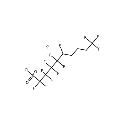 O=S(=O)([O-])C(F)(F)C(F)(F)C(F)(F)C(F)(F)C(F)CCCC(F)(F)F.[K+]